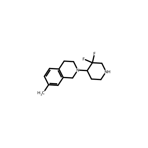 Cc1ccc2c(c1)CN(C1CCNCC1(F)F)CC2